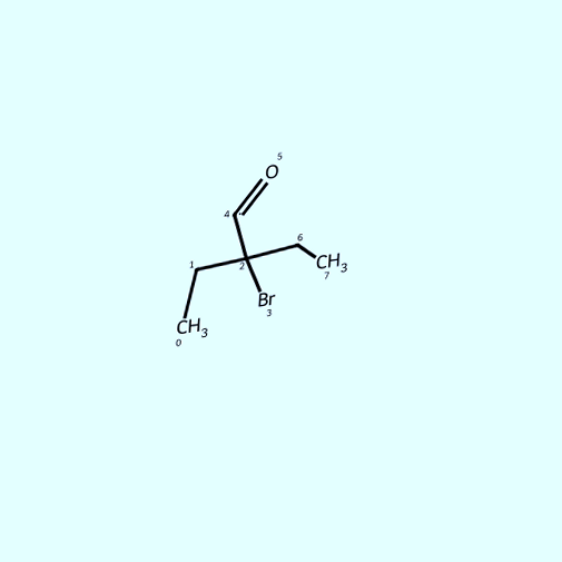 CCC(Br)([C]=O)CC